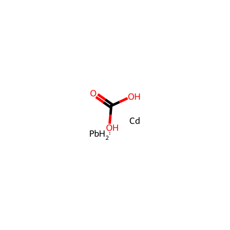 O=C(O)O.[Cd].[PbH2]